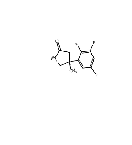 CC1(c2cc(F)cc(F)c2F)CNC(=O)C1